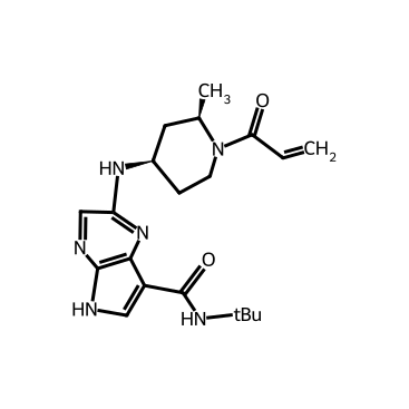 C=CC(=O)N1CC[C@@H](Nc2cnc3[nH]cc(C(=O)NC(C)(C)C)c3n2)C[C@H]1C